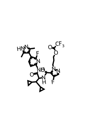 Cc1n[nH]c(C)c1-c1ccc(NC(=O)C(NC(=O)c2c(F)cnn2CCCOC(=O)C(F)(F)F)C(C2CC2)C2CC2)nc1F